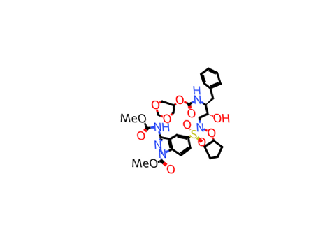 COC(=O)Nc1nn(C(=O)OC)c2ccc(S(=O)(=O)N(C[C@@H](O)[C@H](Cc3ccccc3)NC(=O)OC3COCOC3)OC3CCCC3)cc12